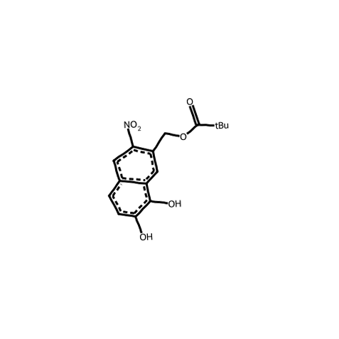 CC(C)(C)C(=O)OCc1cc2c(O)c(O)ccc2cc1[N+](=O)[O-]